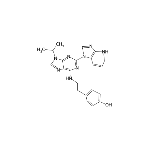 CC(C)n1cnc2c(NCCc3ccc(O)cc3)nc(-n3cnc4c3C=CCN4)nc21